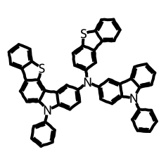 c1ccc(-n2c3ccccc3c3cc(N(c4ccc5sc6ccccc6c5c4)c4ccc5c(c4)c4c6sc7ccccc7c6ccc4n5-c4ccccc4)ccc32)cc1